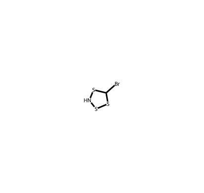 BrC1SNSS1